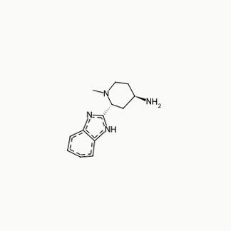 CN1CC[C@@H](N)C[C@@H]1c1nc2ccccc2[nH]1